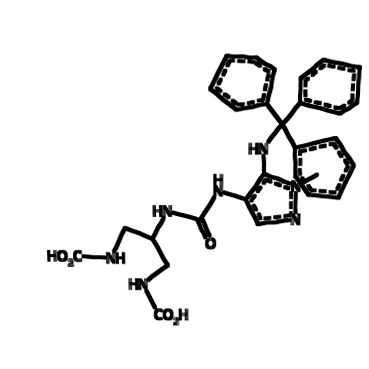 Cn1ncc(NC(=O)NC(CNC(=O)O)CNC(=O)O)c1NC(c1ccccc1)(c1ccccc1)c1ccccc1